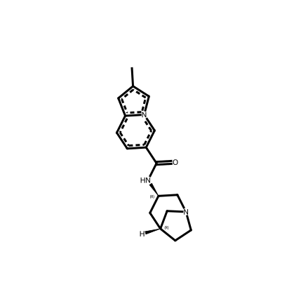 Cc1cc2ccc(C(=O)N[C@@H]3C[C@H]4CCN(C4)C3)cn2c1